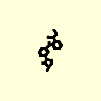 COC(=O)c1ccccc1Nc1cccc(N2N=CN(C)N2)c1